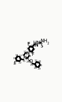 NC(=S)NN=Cc1cc(F)c(N2CCN(Cc3cccc(F)c3)[C@@H](COCc3ccccc3)C2)cc1F